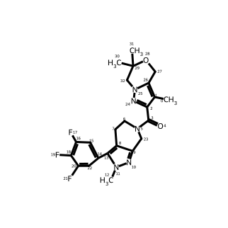 Cc1c(C(=O)N2CCc3c(nn(C)c3-c3cc(F)c(F)c(F)c3)C2)nn2c1COC(C)(C)C2